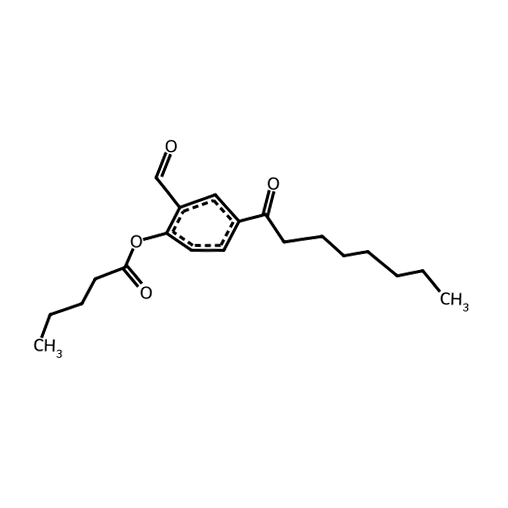 CCCCCCCC(=O)c1ccc(OC(=O)CCCC)c(C=O)c1